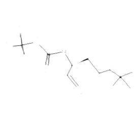 CC(C)(C)OC(=O)N[C@H](C=O)CCCC(F)(F)F